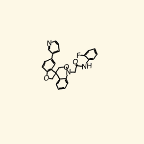 O=C(CN1OCC2(COc3ccc(-c4cccnc4)cc32)c2ccccc21)Nc1ccccc1F